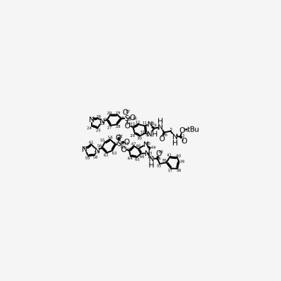 CC(C)(C)OC(=O)NCC(=O)Nc1nc2cc(OS(=O)(=O)c3ccc(-n4ccnc4)cc3)ccc2[nH]1.O=C(Cc1ccccc1)Nn1cnc2cc(OS(=O)(=O)c3ccc(-n4ccnc4)cc3)ccc21